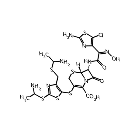 CC(N)SCc1nc(SC(C)N)sc1SC1=C(C(=O)O)N2C(=O)[C@@H](NC(=O)/C(=N\O)c3nc(N)sc3Cl)[C@H]2SC1